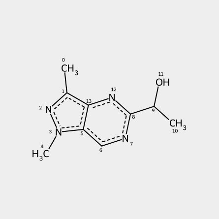 Cc1nn(C)c2cnc(C(C)O)nc12